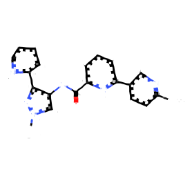 COc1ccc(-c2cccc(C(=O)Nc3cn(C)nc3-c3ccccn3)n2)cn1